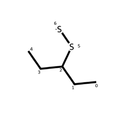 CCC(CC)S[S]